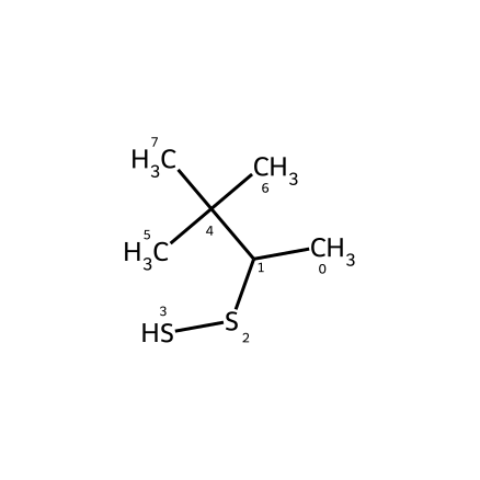 CC(SS)C(C)(C)C